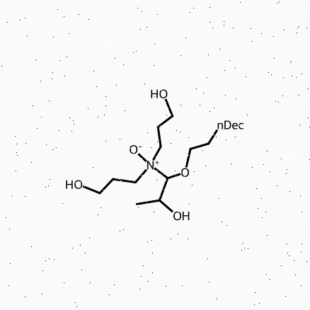 CCCCCCCCCCCCOC(C(C)O)[N+]([O-])(CCCO)CCCO